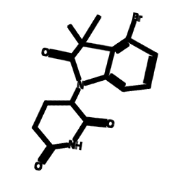 CC1(C)C(=O)N(C2CCC(=O)NC2=O)c2cccc(Br)c21